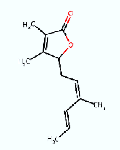 C/C=C/C(C)=CCC1OC(=O)C(C)=C1C